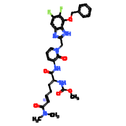 COC(=O)NC(CC/C=C/C(=O)N(C)C)C(=O)Nc1cccn(Cc2nc3cc(F)c(F)c(OCc4ccccc4)c3[nH]2)c1=O